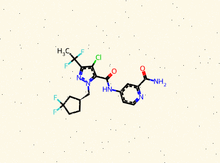 CC(F)(F)c1nn(C[C@H]2CCC(F)(F)C2)c(C(=O)Nc2ccnc(C(N)=O)c2)c1Cl